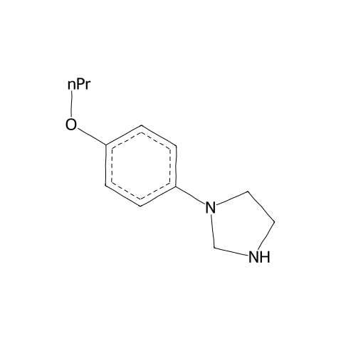 CCCOc1ccc(N2CCNC2)cc1